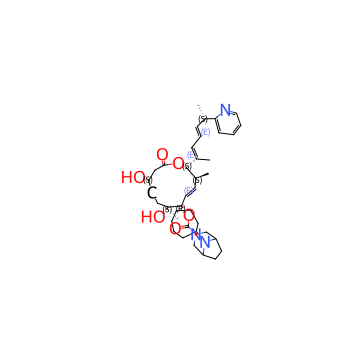 C/C(=C\C=C\[C@H](C)c1ccccn1)[C@H]1OC(=O)C[C@@H](O)CC[C@](C)(O)[C@H](OC(=O)N2CC3CCC(C2)N3C2CCCCCC2)/C=C/[C@@H]1C